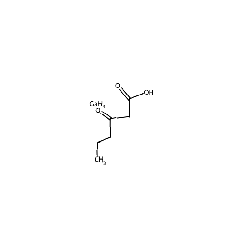 CCCC(=O)CC(=O)O.[GaH3]